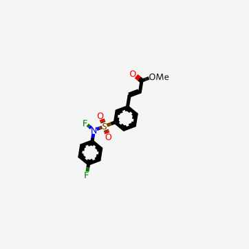 COC(=O)C=Cc1cccc(S(=O)(=O)N(F)c2ccc(F)cc2)c1